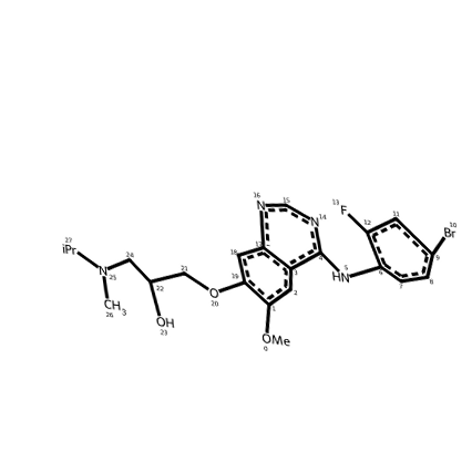 COc1cc2c(Nc3ccc(Br)cc3F)ncnc2cc1OCC(O)CN(C)C(C)C